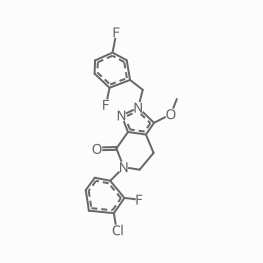 COc1c2c(nn1Cc1cc(F)ccc1F)C(=O)N(c1cccc(Cl)c1F)CC2